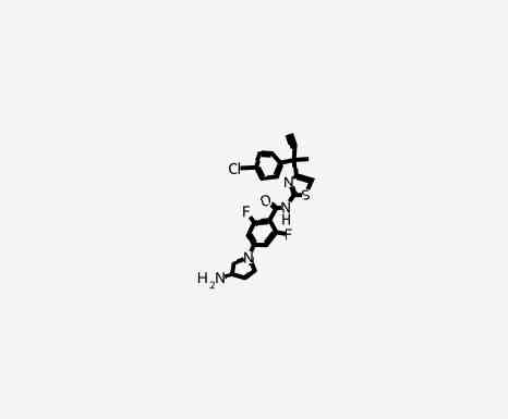 C#CC(C)(c1ccc(Cl)cc1)c1csc(NC(=O)c2c(F)cc(N3CCC(N)C3)cc2F)n1